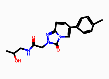 Cc1ccc(-c2ccc3nn(CC(=O)NCC(C)O)c(=O)n3c2)cc1